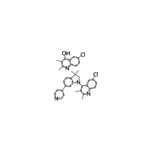 Cc1nc2ccc(Cl)cc2c(N2CC(C)(C)c3ccc(-c4ccncc4)cc32)c1C.Cc1nc2ccc(Cl)cc2c(O)c1C